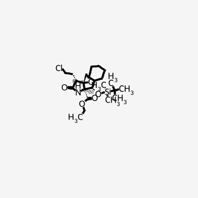 CCOC(=O)[C@]1([C@@H](O[Si](C)(C)C(C)(C)C)C2CCCCC2)NC(=O)[C@H](CCCl)[C@@]12CO2